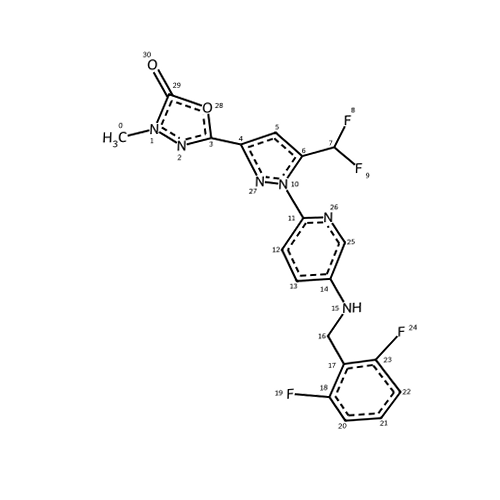 Cn1nc(-c2cc(C(F)F)n(-c3ccc(NCc4c(F)cccc4F)cn3)n2)oc1=O